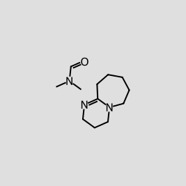 C1CCC2=NCCCN2CC1.CN(C)C=O